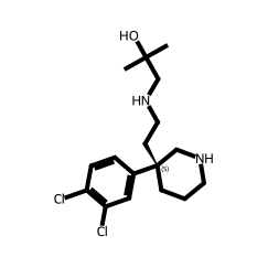 CC(C)(O)CNCC[C@]1(c2ccc(Cl)c(Cl)c2)CCCNC1